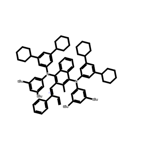 C=C/C(=C\c1c(C)c(N(c2cc(C3CCCCC3)cc(C3CCCCC3)c2)c2cc(C(C)(C)C)cc(C(C)(C)C)c2)c2ccccc2c1N(c1cc(C2CCCCC2)cc(C2CCCCC2)c1)c1cc(C(C)(C)C)cc(C(C)(C)C)c1)c1ccccc1